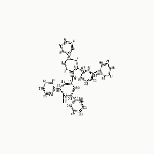 C1=CC(c2ccccc2)Cc2c1n(C1=CC(c3ccccn3)NC(c3ccccn3)=C1)c1ccc(-c3ccccc3)cc21